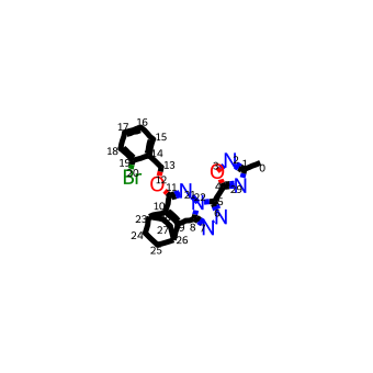 Cc1noc(-c2nnc3c4c(c(OCc5ccccc5Br)nn23)C2CCC4CC2)n1